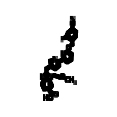 COCCn1c(Cc2ccc(-c3cccc(OCc4ccc(C#N)cc4F)n3)nc2)nc2ccc(C(=O)O)cc21